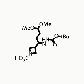 COC(CC/C(=N\NC(=O)OC(C)(C)C)C1CN(C(=O)O)C1)OC